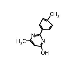 Cc1ccc(-c2nc(C)cc(O)n2)cc1